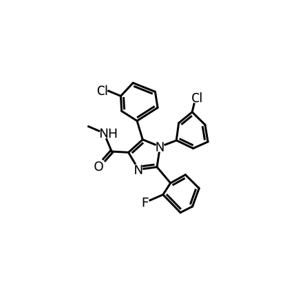 CNC(=O)c1nc(-c2ccccc2F)n(-c2cccc(Cl)c2)c1-c1cccc(Cl)c1